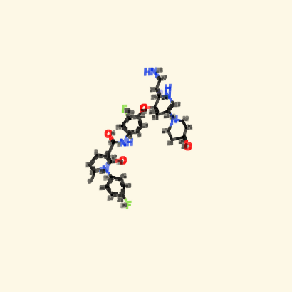 Cc1ccc(C(=O)Nc2ccc(OC3=CC(N4CCC(=O)CC4)=CN/C3=C\C=N)c(F)c2)c(=O)n1-c1ccc(F)cc1